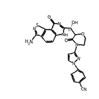 N#Cc1ccc(-n2ccc(N3CCOC([C@@H](O)c4nc(=O)c5c(ccc6c(N)nsc65)[nH]4)C3=O)n2)cc1